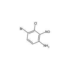 Nc1ccc(Br)c(Cl)c1N=O